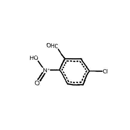 O=Cc1cc(Cl)ccc1[N+](=O)O